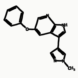 Cn1cc(-c2c[nH]c3ncc(Oc4ccccc4)cc23)cn1